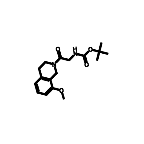 COc1cccc2c1CN(C(=O)CNC(=O)OC(C)(C)C)CC2